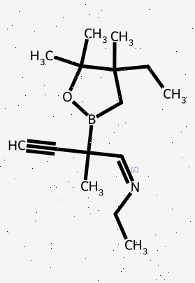 C#CC(C)(/C=N\CC)B1CC(C)(CC)C(C)(C)O1